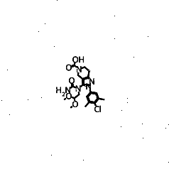 COC(CN(C(N)=O)c1c2c(nn1-c1cc(C)c(Cl)c(C)c1)CCN(C(=O)O)C2)OC